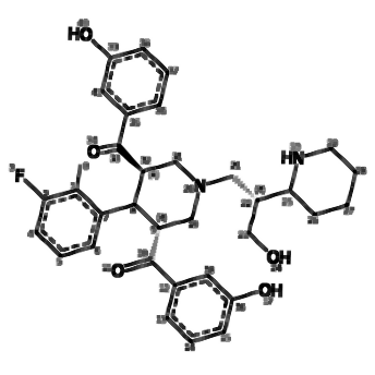 Cc1c(F)cccc1C1[C@@H](C(=O)c2cccc(O)c2)CN(C[C@@H](CO)C2CCCCN2)C[C@@H]1C(=O)c1cccc(O)c1